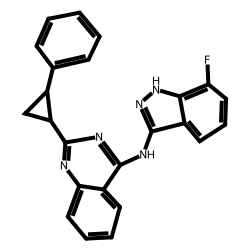 Fc1cccc2c(Nc3nc(C4CC4c4ccccc4)nc4ccccc34)n[nH]c12